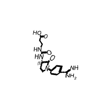 N=C(N)c1ccc(N2CC[C@H](NC(=O)NCCC(=O)O)C2=O)cc1